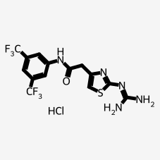 Cl.NC(N)=Nc1nc(CC(=O)Nc2cc(C(F)(F)F)cc(C(F)(F)F)c2)cs1